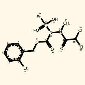 CCc1ccccc1COC(=O)N(N(C)C(=O)C(Cl)Cl)P(=O)(O)CC